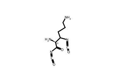 NCCCC(N=C=O)[C@H](N)C(=O)N=C=O